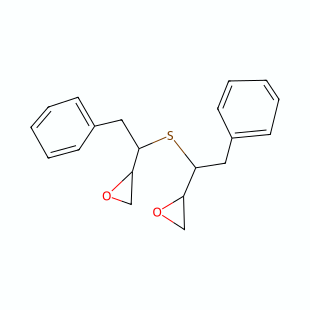 c1ccc(CC(SC(Cc2ccccc2)C2CO2)C2CO2)cc1